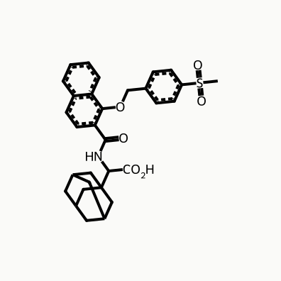 CS(=O)(=O)c1ccc(COc2c(C(=O)NC(C(=O)O)C34CC5CC(CC(C5)C3)C4)ccc3ccccc23)cc1